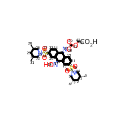 C[C@@H]1C[C@H](C)CN(S(=O)(=O)c2ccc3c(c2)C(=NO)c2cc(S(=O)(=O)N4C[C@H](C)C[C@H](C)C4)ccc2C3=NOC(=O)OCC(=O)O)C1